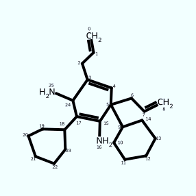 C=CCC1=CC(CC=C)(C2CCCCC2)C(N)=C(C2CCCCC2)C1N